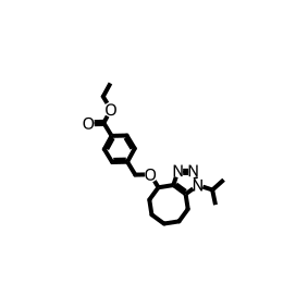 CCOC(=O)c1ccc(COC2CCCCCc3c2nnn3C(C)C)cc1